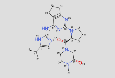 CC(C)c1cnc(Nc2nc(N3CCC[C@H]3C(=O)N3CCN(C)C(=O)C3)nc3c2CCC3)[nH]1